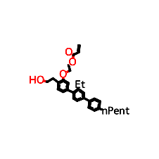 C=CC(=O)OCCOc1cc(-c2ccc(-c3ccc(CCCCC)cc3)cc2CC)ccc1CCO